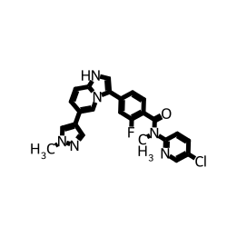 CN(C(=O)c1ccc(C2=CNC3C=CC(c4cnn(C)c4)=CN23)cc1F)c1ccc(Cl)cn1